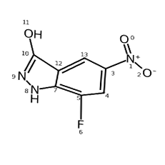 O=[N+]([O-])c1cc(F)c2[nH]nc(O)c2c1